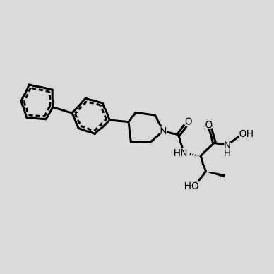 C[C@@H](O)[C@H](NC(=O)N1CCC(c2ccc(-c3ccccc3)cc2)CC1)C(=O)NO